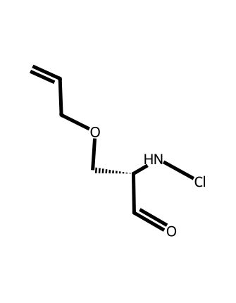 C=CCOC[C@@H](C=O)NCl